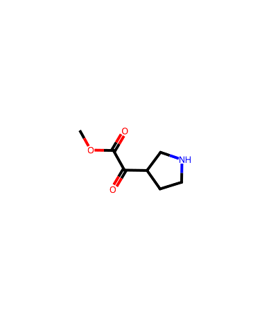 COC(=O)C(=O)C1CCNC1